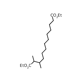 CCOC(=O)CCCCCCCCCC(C)C(C)C(=O)OCC